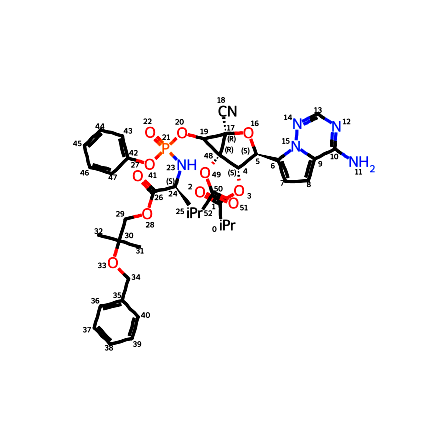 CC(C)C(=O)O[C@H]1[C@H](c2ccc3c(N)ncnn23)O[C@]2(C#N)C(OP(=O)(N[C@@H](C)C(=O)OCC(C)(C)OCc3ccccc3)Oc3ccccc3)[C@]12OC(=O)C(C)C